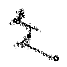 CC[C@@]1(O)C(=O)OCc2c1cc1n(c2=O)Cc2c-1nc1cc(F)c(C)c3c1c2[C@@H](NC(=O)COCNC(=O)[C@H](CCC(N)=O)NC(=O)OCc1ccc(NC(=O)[C@H](CCCNC(N)=O)NC(=O)[C@@H](NC(=O)CCOCCOCCOCCOCCNC(=O)COC2C#CCCCCC2)C(C)C)cc1)CC3